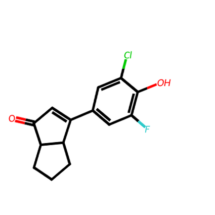 O=C1C=C(c2cc(F)c(O)c(Cl)c2)C2CCCC12